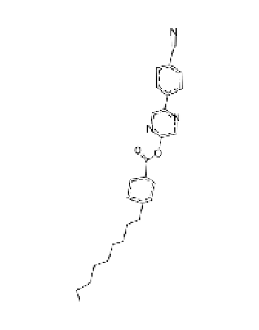 CCCCCCCCCc1ccc(C(=O)Oc2cnc(-c3ccc(C#N)cc3)cn2)cc1